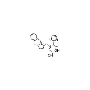 CC1CCC(CN(CCN=O)[C@H](c2nnco2)[C@@H](C)O)N1Cc1ccccc1